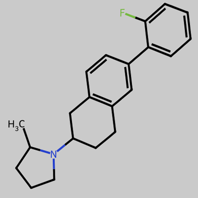 CC1CCCN1C1CCc2cc(-c3ccccc3F)ccc2C1